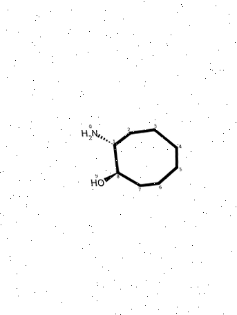 N[C@@H]1CCCCCC[C@H]1O